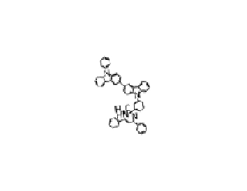 CC1(c2cccc(-n3c4ccccc4c4cc(-c5ccc6c(c5)c5ccccc5n6-c5ccccc5)ccc43)c2)N=C(c2ccccc2)C=C(c2ccccc2)N1